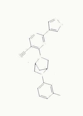 N#Cc1cnc(-c2cn[nH]c2)nc1N1C[C@@H]2C[C@H]1CN2c1cccc(F)c1